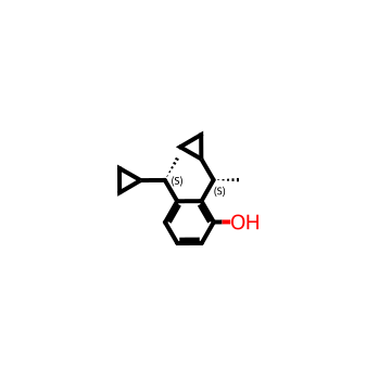 C[C@H](c1cccc(O)c1[C@@H](C)C1CC1)C1CC1